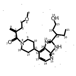 C=C(CCOC)C(=O)N1CCC(c2ccnc3[nH]c(C(CC)CCO)nc23)CC1